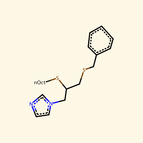 CCCCCCCCSC(CSCc1ccccc1)Cn1ccnc1